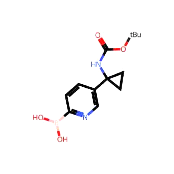 CC(C)(C)OC(=O)NC1(c2ccc(B(O)O)nc2)CC1